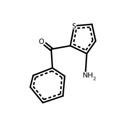 Nc1ccsc1C(=O)c1ccccc1